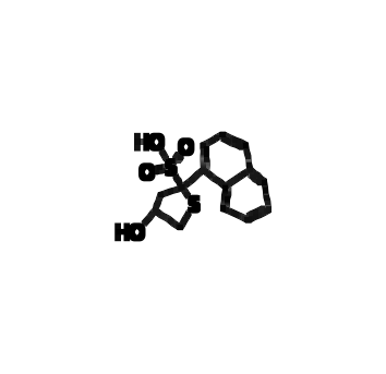 O=S(=O)(O)C1(c2cccc3ccccc23)CC(O)CS1